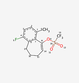 Cc1ccc(F)c2c1C(OS(=O)(=O)C(F)(F)F)=CCCC2